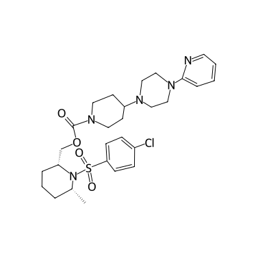 C[C@@H]1CCC[C@H](COC(=O)N2CCC(N3CCN(c4ccccn4)CC3)CC2)N1S(=O)(=O)c1ccc(Cl)cc1